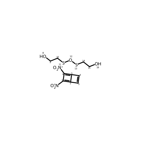 O=[N+]([O-])c1c2ccc-2c1[N+](=O)[O-].OCCSOSCCO